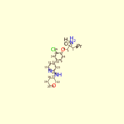 CC(C)CC(C)(N)COc1ccc(-c2ccnc(NC3CCCOC3)c2)cc1Cl